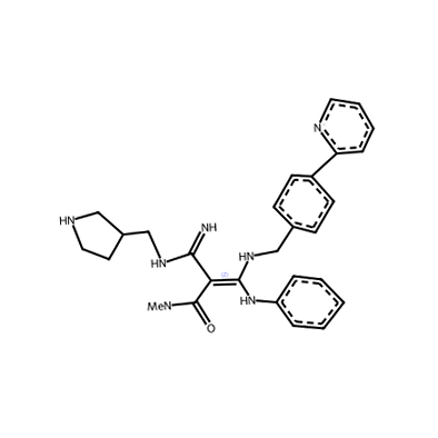 CNC(=O)/C(C(=N)NCC1CCNC1)=C(/NCc1ccc(-c2ccccn2)cc1)Nc1ccccc1